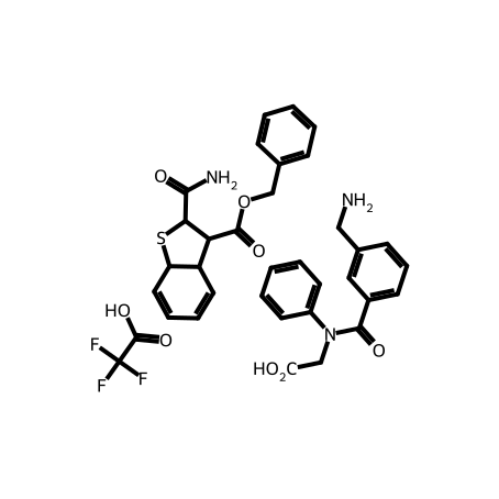 NC(=O)C1SC2C=CC=CC2C1C(=O)OCc1ccccc1.NCc1cccc(C(=O)N(CC(=O)O)c2ccccc2)c1.O=C(O)C(F)(F)F